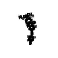 CC(C)N1CCc2nc3cc(C#Cc4ccc(F)cc4)ccc3c(=O)n2CC1